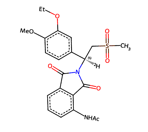 [2H][C@@](CS(C)(=O)=O)(c1ccc(OC)c(OCC)c1)N1C(=O)c2cccc(NC(C)=O)c2C1=O